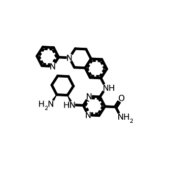 NC(=O)c1cnc(N[C@@H]2CCCC[C@@H]2N)nc1Nc1ccc2c(c1)CN(c1ccccn1)CC2